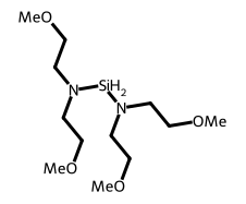 COCCN(CCOC)[SiH2]N(CCOC)CCOC